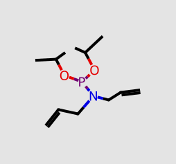 C=CCN(CC=C)P(OC(C)C)OC(C)C